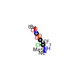 CS/C(=N\C#N)Nc1cc(Cl)c(-c2ccc(S(=O)(=O)C3CCN(C(=O)OC(C)(C)C)CC3)cc2)c(C(F)(F)F)c1